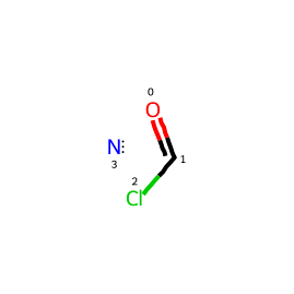 O=CCl.[N]